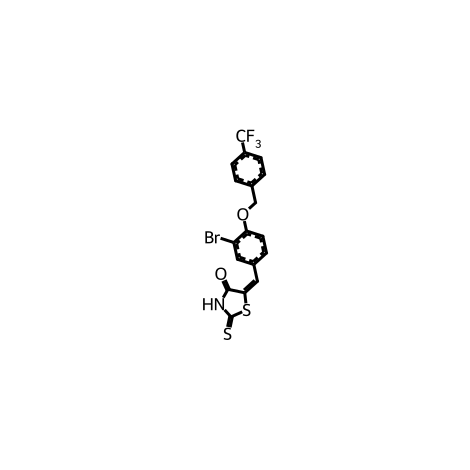 O=C1NC(=S)SC1=Cc1ccc(OCc2ccc(C(F)(F)F)cc2)c(Br)c1